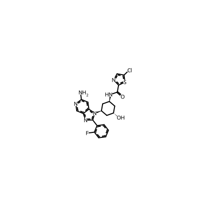 Nc1cc2c(cn1)nc(-c1ccccc1F)n2[C@@H]1C[C@@H](O)C[C@H](NC(=O)c2ncc(Cl)s2)C1